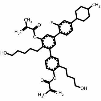 C=C(C)C(=O)Oc1ccc(-c2cc(-c3ccc(C4CCC(C)CC4)cc3F)cc(OC(=O)C(=C)C)c2CCCCCO)cc1CCCCO